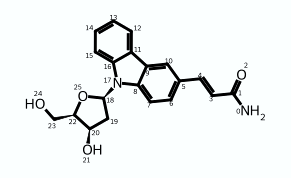 NC(=O)/C=C/c1ccc2c(c1)c1ccccc1n2[C@H]1C[C@@H](O)[C@@H](CO)O1